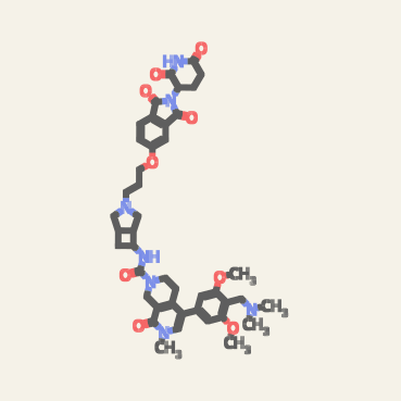 COc1cc(-c2cn(C)c(=O)c3c2CCN(C(=O)NC2CC4CN(CCCOc5ccc6c(c5)C(=O)N(C5CCC(=O)NC5=O)C6=O)CC42)C3)cc(OC)c1CN(C)C